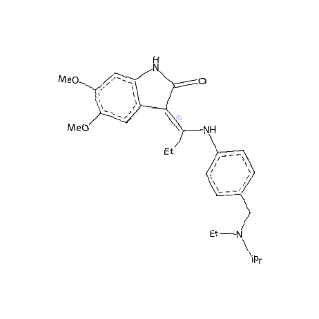 CC/C(Nc1ccc(CN(CC)C(C)C)cc1)=C1/C(=O)Nc2cc(OC)c(OC)cc21